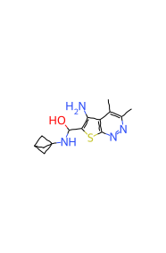 Cc1nnc2sc(C(O)NC34CC(C3)C4)c(N)c2c1C